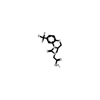 NC(=S)CN1CC2CSc3ccc(C(F)(F)F)cc3N2C1=S